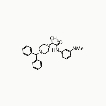 CNc1cccc(NC(=O)C(C)N2CCN(C(c3ccccc3)c3ccccc3)CC2)c1